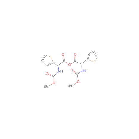 CC(C)(C)OC(=O)N[C@H](C(=O)OC(=O)[C@@H](NC(=O)OC(C)(C)C)c1cccs1)c1cccs1